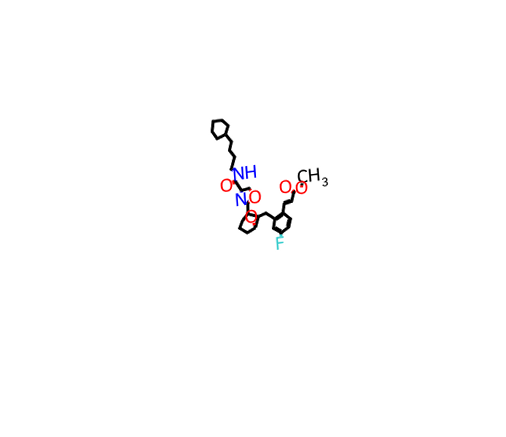 COC(=O)/C=C/c1ccc(F)cc1CC1C2CCC(O2)C1C1=NC(C(=O)NCCCCC2CCCCC2)CO1